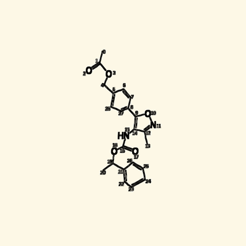 CC(=O)OCc1ccc(-c2onc(C)c2NC(=O)OC(C)c2ccccc2)cc1